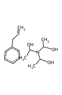 C=CCc1ccccc1.CC(O)N(C(C)O)C(C)O